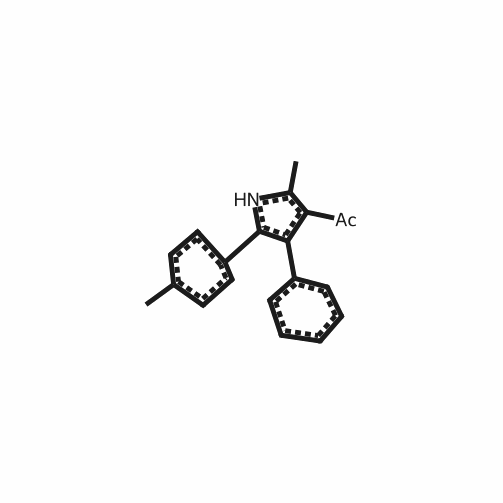 CC(=O)c1c(C)[nH]c(-c2ccc(C)cc2)c1-c1ccccc1